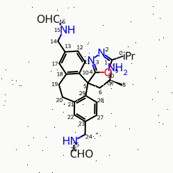 CC(C)c1nnc(C2(C[C@H](C)N)c3ccc(CNC=O)cc3CCc3cc(CNC=O)ccc32)o1